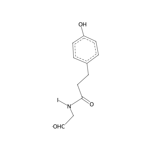 O=[C]CN(I)C(=O)CCc1ccc(O)cc1